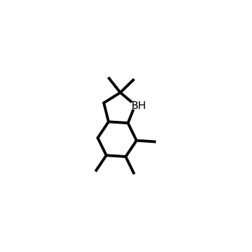 CC1CC2CC(C)(C)BC2C(C)C1C